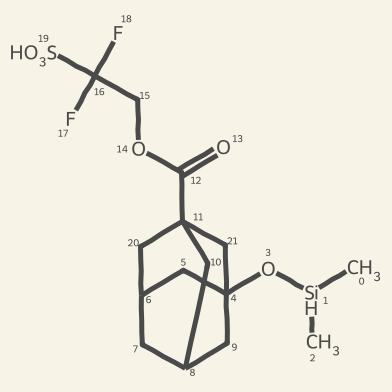 C[SiH](C)OC12CC3CC(C1)CC(C(=O)OCC(F)(F)S(=O)(=O)O)(C3)C2